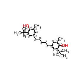 CCC(C)(C)c1cc(CCCCCc2cc(C)c(O)c(C(C)(C)CC)c2)cc(C)c1O